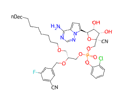 CCCCCCCCCCCCCCCCCOC[C@H](COP(=O)(OC[C@@]1(C#N)O[C@@H](c2ccc3c(N)ncnn23)[C@H](O)[C@@H]1O)Oc1ccccc1Cl)OCc1cc(F)cc(C#N)c1